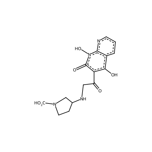 O=C(CNC1CCN(C(=O)O)C1)c1c(O)c2cccnc2n(O)c1=O